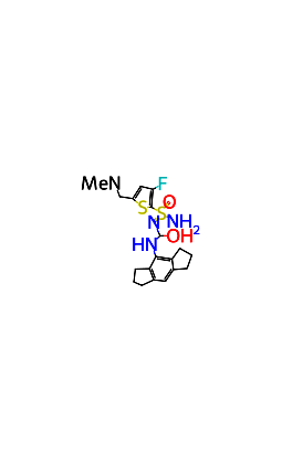 CNCc1cc(F)c(S(N)(=O)=NC(O)Nc2c3c(cc4c2CCC4)CCC3)s1